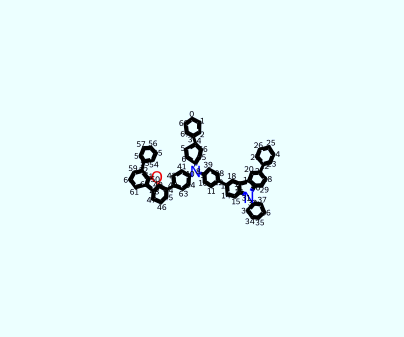 c1ccc(-c2ccc(N(c3ccc(-c4ccc5c(c4)c4cc(-c6ccccc6)ccc4n5-c4ccccc4)cc3)c3ccc(-c4cccc5c4oc4c(-c6ccccc6)cccc45)cc3)cc2)cc1